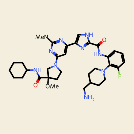 CNc1nc(-c2c[nH]c(C(=O)Nc3cccc(F)c3N3CCC(CN)CC3)n2)cc(N2CCC(OC)(C(=O)NC3CCCCC3)C2)n1